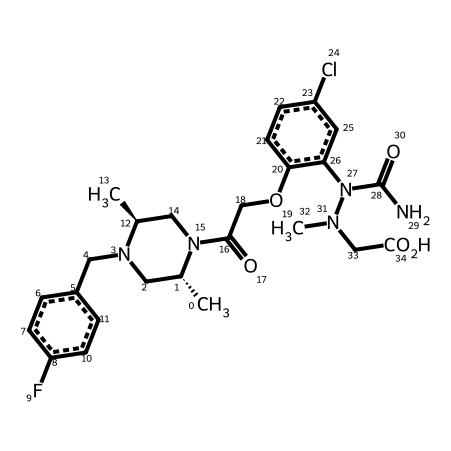 C[C@@H]1CN(Cc2ccc(F)cc2)[C@@H](C)CN1C(=O)COc1ccc(Cl)cc1N(C(N)=O)N(C)CC(=O)O